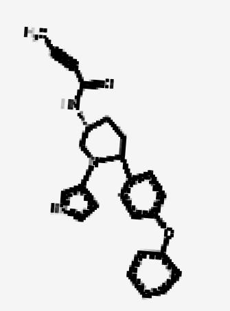 CC#CC(=O)N[C@@H]1CCC(c2ccc(Oc3ccccc3)cc2)N(c2cc[nH]c2)C1